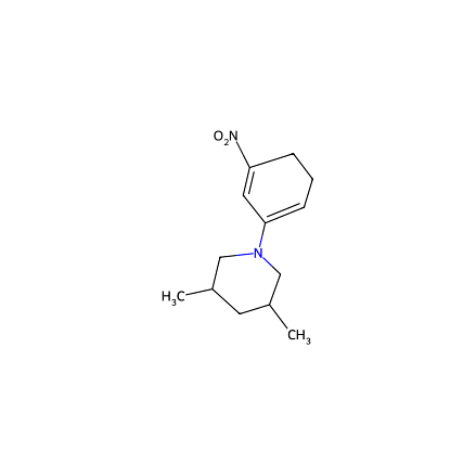 CC1CC(C)CN(C2=CCCC([N+](=O)[O-])=C2)C1